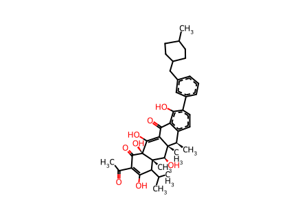 CC(=O)C1=C(O)C(C(C)C)[C@@]2(C)[C@H](O)[C@]3(C)C(=C(O)[C@@]2(O)C1=O)C(=O)c1c(ccc(-c2cccc(CC4CCC(C)CC4)c2)c1O)[C@H]3C